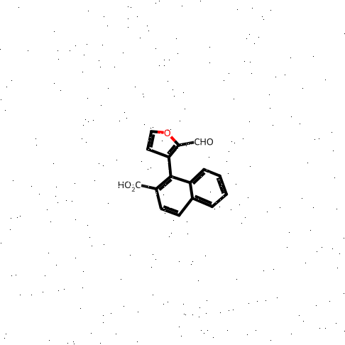 O=Cc1occc1-c1c(C(=O)O)ccc2ccccc12